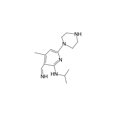 Cc1cc(N2CCNCC2)nc(NC(C)C)c1C=N